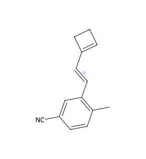 Cc1ccc(C#N)cc1/C=C/C1=CCC1